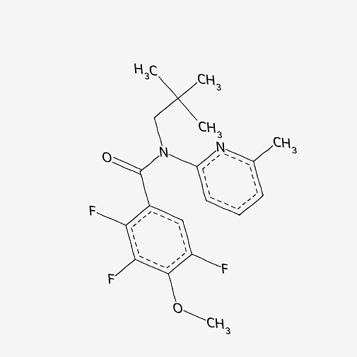 COc1c(F)cc(C(=O)N(CC(C)(C)C)c2cccc(C)n2)c(F)c1F